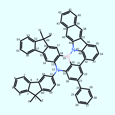 CC1(C)c2ccccc2-c2cc(N3c4cc5c(cc4B4c6c(cc(-c7ccccc7)cc63)-c3cccc6c7cc8ccccc8cc7n4c36)C(C)(C)c3ccccc3-5)ccc21